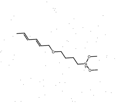 CC=CC=CCOCCCC[SiH](OC)OC